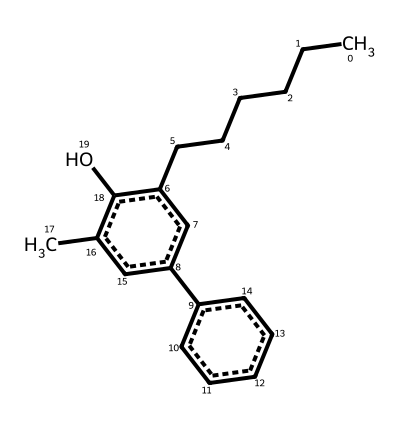 CCCCCCc1cc(-c2ccccc2)cc(C)c1O